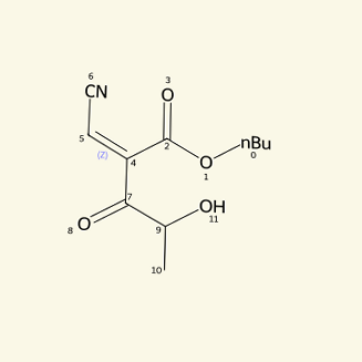 CCCCOC(=O)/C(=C\C#N)C(=O)C(C)O